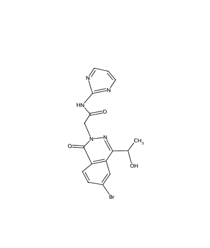 CC(O)c1nn(CC(=O)Nc2ncccn2)c(=O)c2ccc(Br)cc12